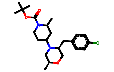 CC1CC(N2C[C@H](C)OC[C@@H]2Cc2ccc(Cl)cc2)CCN1C(=O)OC(C)(C)C